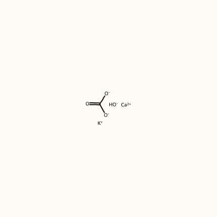 O=C([O-])[O-].[Ca+2].[K+].[OH-]